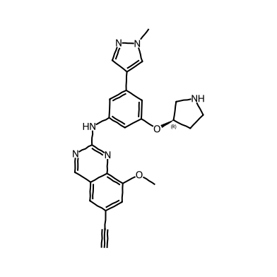 C#Cc1cc(OC)c2nc(Nc3cc(O[C@@H]4CCNC4)cc(-c4cnn(C)c4)c3)ncc2c1